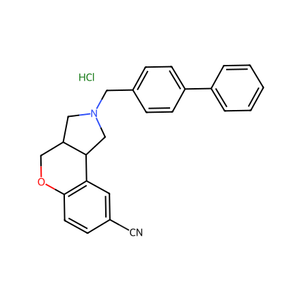 Cl.N#Cc1ccc2c(c1)C1CN(Cc3ccc(-c4ccccc4)cc3)CC1CO2